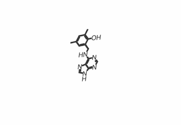 Cc1cc(C)c(O)c(CNc2ncnc3[nH]cnc23)c1